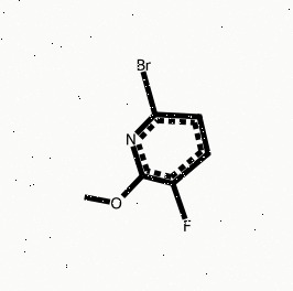 COc1nc(Br)ccc1F